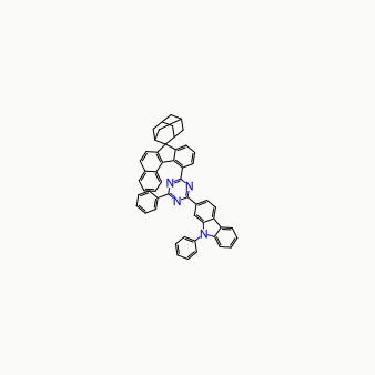 c1ccc(-c2nc(-c3ccc4c5ccccc5n(-c5ccccc5)c4c3)nc(-c3cccc4c3-c3c(ccc5ccccc35)C43C4CC5CC(C4)CC3C5)n2)cc1